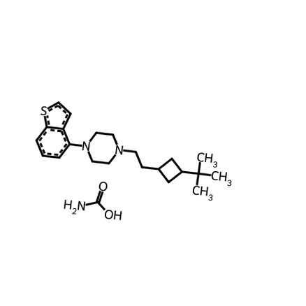 CC(C)(C)C1CC(CCN2CCN(c3cccc4sccc34)CC2)C1.NC(=O)O